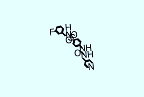 O=C(NCc1ccncc1)Nc1ccc(S(=O)(=O)NCc2cccc(F)c2)cc1